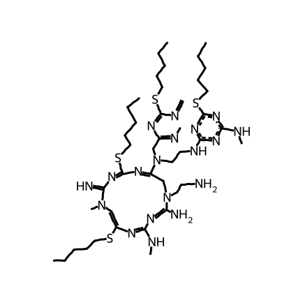 C=N/C(=N\C(CN(CCNc1nc(NC)nc(SCCCCC)n1)/C1=N/C(SCCCCC)=N\C(=N)N(C)/C=C(SCCCCC)/N=C(NC)\N=C(/N)N(CCN)C1)=N/C)SCCCCC